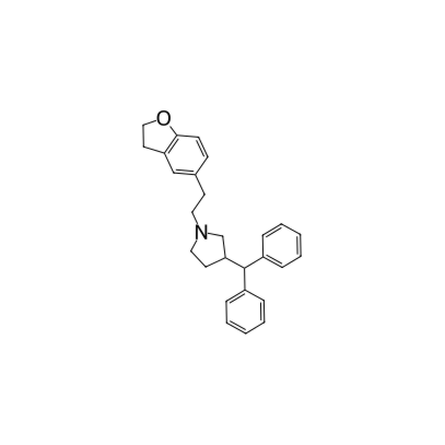 c1ccc(C(c2ccccc2)C2CCN(CCc3ccc4c(c3)CCO4)C2)cc1